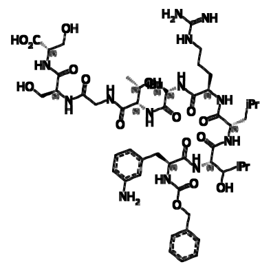 CC[C@H](C)[C@H](NC(=O)[C@@H](CCCNC(=N)N)NC(=O)[C@H](CC(C)C)NC(=O)[C@@H](NC(=O)[C@H](Cc1cccc(N)c1)NC(=O)OCc1ccccc1)C(O)C(C)C)C(=O)N[C@H](C(=O)NCC(=O)N[C@@H](CO)C(=O)N[C@@H](CO)C(=O)O)[C@H](C)O